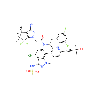 Cn1nc(NS(C)(=O)=O)c2c(Cl)ccc(-c3ccc(C#CC(C)(C)O)nc3C(Cc3cc(F)cc(F)c3)NC(=O)Cn3nc(N)c4c3C(F)(F)[C@@H]3C[C@H]43)c21